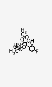 CC(=O)Oc1c(NS(C)(=O)=O)oc(-c2ccc(F)cc2Cl)c1O